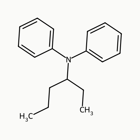 CCCC(CC)N(c1ccccc1)c1ccccc1